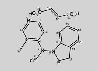 CCCN(c1ccncc1F)N1CCc2ccccc21.O=C(O)C=CC(=O)O